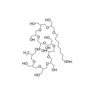 CCCCCCCCCCCCCCCCCCOCC(CO)OCC(CO)OCC(CO)OCC(CO)OCC(CO)OCC(CO)OCC(CO)OCC(CO)OCC(CO)OCC(C)CO